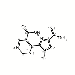 N=C(N)c1nc(C2=C(C(=O)O)C=NCN2)c(F)s1